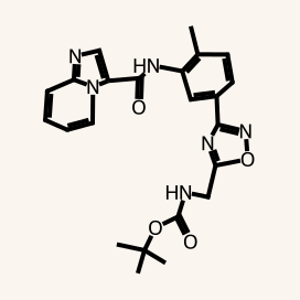 Cc1ccc(-c2noc(CNC(=O)OC(C)(C)C)n2)cc1NC(=O)c1cnc2ccccn12